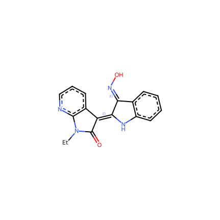 CCN1C(=O)/C(=C2\Nc3ccccc3\C2=N/O)c2cccnc21